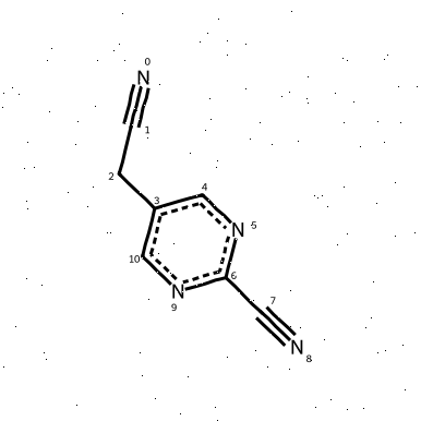 N#CCc1cnc(C#N)nc1